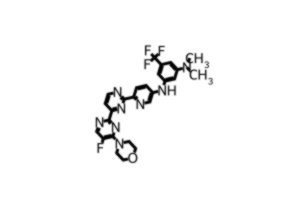 CN(C)c1cc(Nc2ccc(-c3nccc(-c4ncc(F)c(N5CCOCC5)n4)n3)nc2)cc(C(F)(F)F)c1